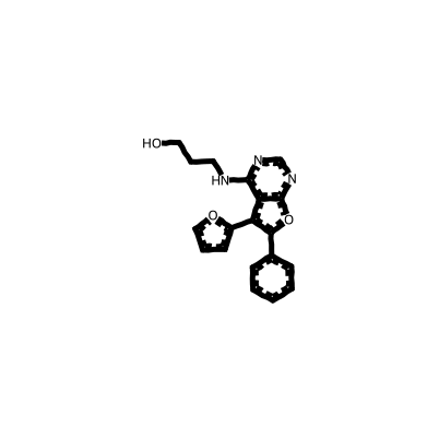 OCCCNc1ncnc2oc(-c3ccccc3)c(-c3ccco3)c12